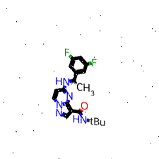 C[C@@H](Nc1ccn2ncc(C(=O)NC(C)(C)C)c2n1)c1cc(F)cc(F)c1